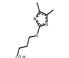 Cc1nc(SCCCC(=O)O)sc1C